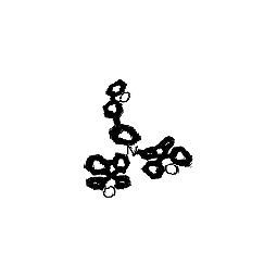 c1ccc2c(c1)Oc1ccccc1C21c2ccccc2-c2cc(N(c3ccc(-c4ccc5c(c4)oc4ccccc45)cc3)c3ccc4c(c3)-c3ccccc3C43c4ccccc4Oc4ccccc43)ccc21